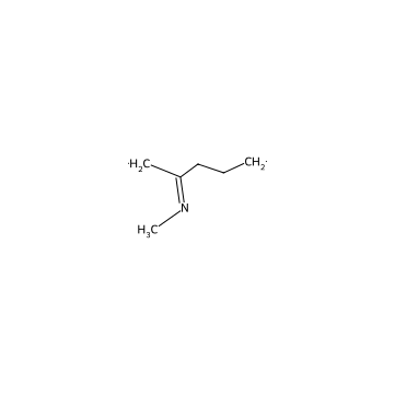 [CH2]CCC([CH2])=NC